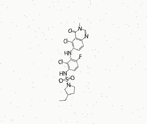 CCC1CCN(S(=O)(=O)Nc2ccc(F)c(Nc3ccc4ncn(C)c(=O)c4c3Cl)c2Cl)C1